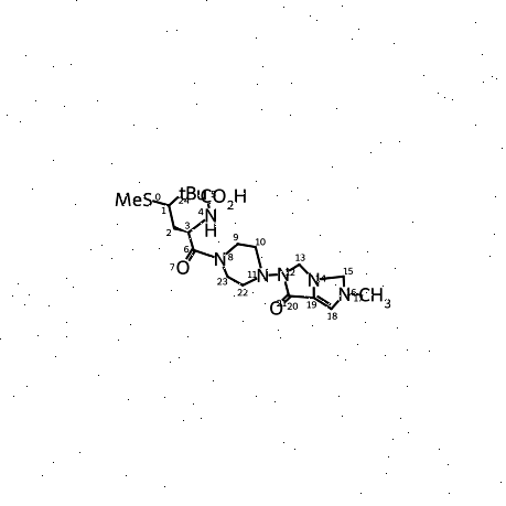 CSC(C[C@@H](NC(=O)O)C(=O)N1CCN(N2CN3CN(C)C=C3C2=O)CC1)C(C)(C)C